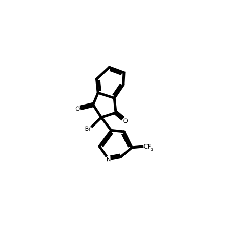 O=C1c2ccccc2C(=O)C1(Br)c1cncc(C(F)(F)F)c1